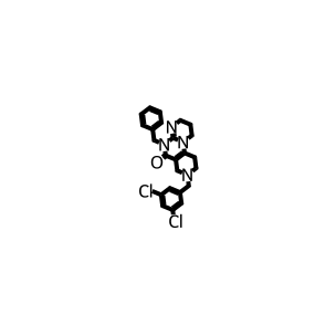 O=C1C2=C(CCN(Cc3cc(Cl)cc(Cl)c3)C2)N2CCCN=C2N1Cc1ccccc1